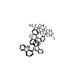 CC(C)(C)c1ccc2c(c1)B1c3cc(C(C)(C)C)ccc3Oc3cc(-n4c5ccccc5c5cccc(-n6c7ccccc7c7ccccc76)c54)cc(c31)O2